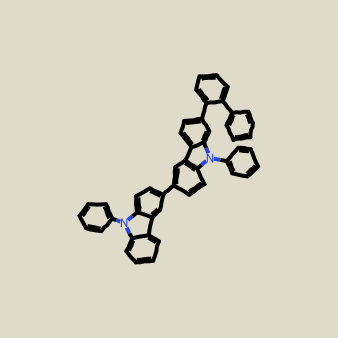 c1ccc(-c2ccccc2-c2ccc3c4cc(-c5ccc6c(c5)c5ccccc5n6-c5ccccc5)ccc4n(-c4ccccc4)c3c2)cc1